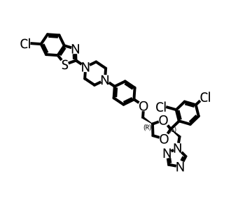 Clc1ccc([C@]2(Cn3cncn3)OC[C@@H](COc3ccc(N4CCN(c5nc6ccc(Cl)cc6s5)CC4)cc3)O2)c(Cl)c1